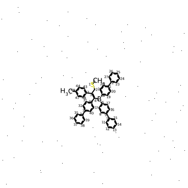 CSC/C(=C(\B(c1ccc(-c2ccccc2)cc1)c1ccc(-c2ccccc2)cc1)c1ccc(-c2ccccc2)cc1)c1ccc(C)cc1